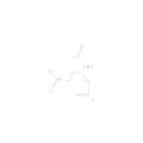 CC(=O)O.O=[N+]([O-])c1cccc(I)c1